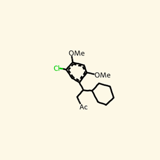 COc1cc(OC)c(C(CC(C)=O)C2CCCCC2)cc1Cl